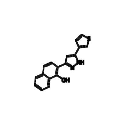 Oc1c(-c2cc(-c3ccsc3)[nH]n2)ccc2ccccc12